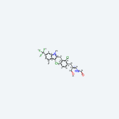 Cc1cc(C(F)(F)F)cc2c1cc(Cc1c(Cl)ccc(C/C(C=O)=C/NC=O)c1Cl)n2C